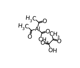 CC(=O)C(=O)O.C[C](=O)[Al]([C](C)=O)[C](C)=O